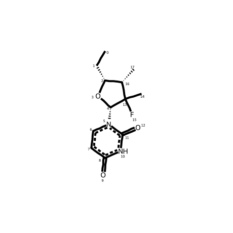 CC[C@H]1O[C@@H](n2ccc(=O)[nH]c2=O)C(C)(F)[C@H]1C